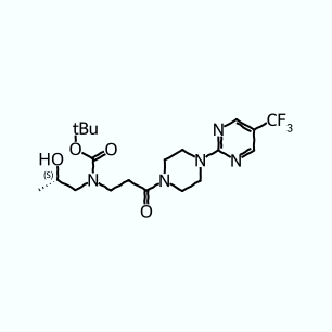 C[C@H](O)CN(CCC(=O)N1CCN(c2ncc(C(F)(F)F)cn2)CC1)C(=O)OC(C)(C)C